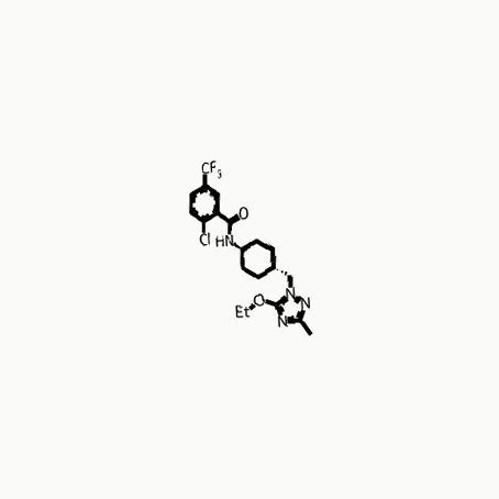 CCOc1nc(C)nn1C[C@H]1CC[C@H](NC(=O)c2cc(C(F)(F)F)ccc2Cl)CC1